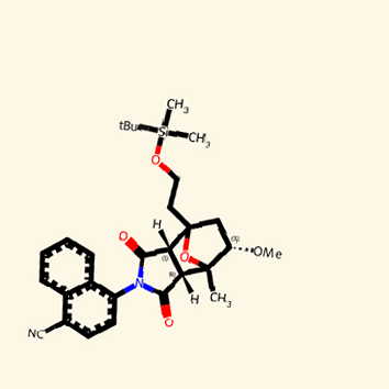 CO[C@H]1CC2(CCO[Si](C)(C)C(C)(C)C)OC1(C)[C@@H]1C(=O)N(c3ccc(C#N)c4ccccc34)C(=O)[C@@H]12